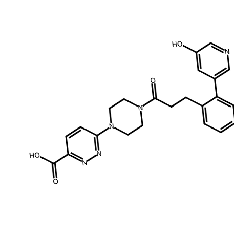 O=C(O)c1ccc(N2CCN(C(=O)CCc3ccccc3-c3cncc(O)c3)CC2)nn1